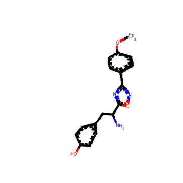 NC(Cc1ccc(O)cc1)c1nc(-c2ccc(OC(F)(F)F)cc2)no1